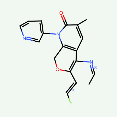 C/C=N\C1=C(/C=C/F)OCc2c1cc(C)c(=O)n2-c1cccnc1